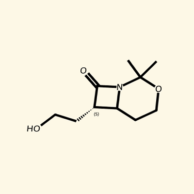 CC1(C)OCCC2[C@H](CCO)C(=O)N21